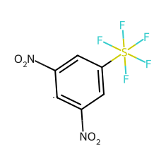 O=[N+]([O-])c1[c]c([N+](=O)[O-])cc(S(F)(F)(F)(F)F)c1